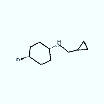 CC(C)[C@H]1CC[C@H](NCC2CC2)CC1